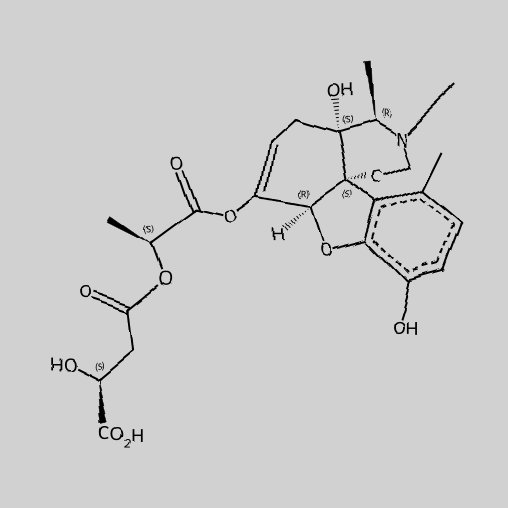 Cc1ccc(O)c2c1[C@]13CCN(C)[C@H](C)[C@]1(O)CC=C(OC(=O)[C@H](C)OC(=O)C[C@H](O)C(=O)O)[C@@H]3O2